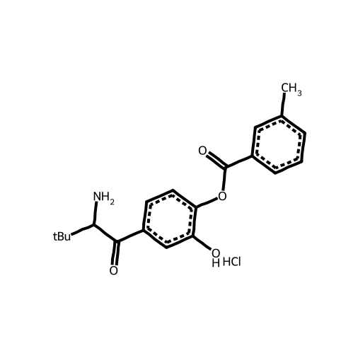 Cc1cccc(C(=O)Oc2ccc(C(=O)C(N)C(C)(C)C)cc2O)c1.Cl